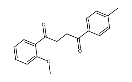 COc1ccccc1C(=O)CCC(=O)c1ccc(C)cc1